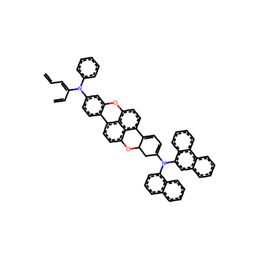 C=C/C=C(\C=C)N(c1ccccc1)c1ccc2c(c1)Oc1ccc3c4c(ccc-2c14)OC1CC(N(c2cccc4ccccc24)c2cc4ccccc4c4ccccc24)=CC=C31